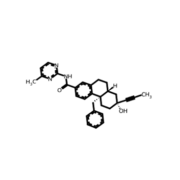 CC#C[C@@]1(O)CC[C@@]2(Cc3ccccc3)c3ccc(C(=O)Nc4nccc(C)n4)cc3CC[C@@H]2C1